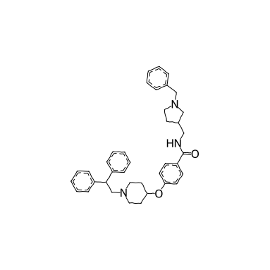 O=C(NCC1CCN(Cc2ccccc2)C1)c1ccc(OC2CCN(CC(c3ccccc3)c3ccccc3)CC2)cc1